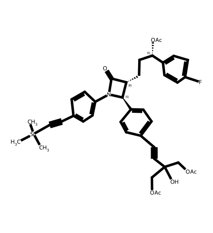 CC(=O)OCC(O)(C#Cc1ccc([C@@H]2[C@@H](CC[C@H](OC(C)=O)c3ccc(F)cc3)C(=O)N2c2ccc(C#C[Si](C)(C)C)cc2)cc1)COC(C)=O